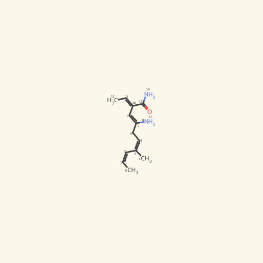 C/C=C\C(C)=C/C/C(N)=C/C(=C\C)C(N)=O